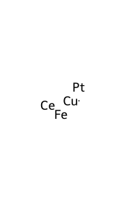 [Ce].[Cu].[Fe].[Pt]